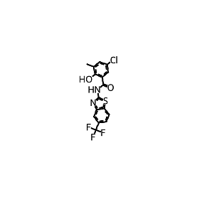 Cc1cc(Cl)cc(C(=O)Nc2nc3cc(C(F)(F)F)ccc3s2)c1O